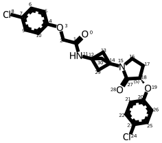 O=C(COc1ccc(Cl)cc1)NC12CC(N3CC[C@H](Oc4ccc(Cl)cc4)C3=O)(C1)C2